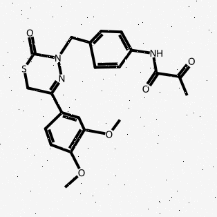 COc1ccc(C2=NN(Cc3ccc(NC(=O)C(C)=O)cc3)C(=O)SC2)cc1OC